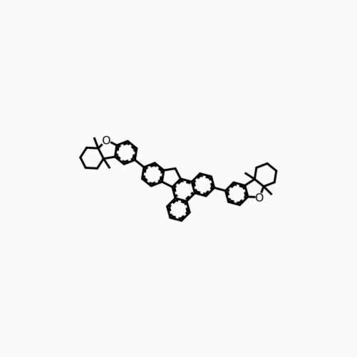 CC12CCCCC1(C)c1cc(-c3ccc4c(c3)Cc3c-4c4ccccc4c4cc(-c5ccc6c(c5)C5(C)CCCCC5(C)O6)ccc34)ccc1O2